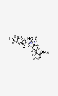 C/N=C(\C(N=O)=C(/C)c1nc2cc3c(cc2[nH]1)CNC3)c1ccc(-c2cccnc2OC)cc1